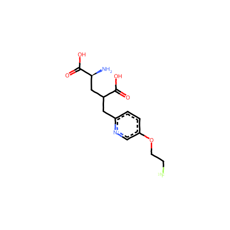 N[C@@H](CC(Cc1ccc(OCC[18F])cn1)C(=O)O)C(=O)O